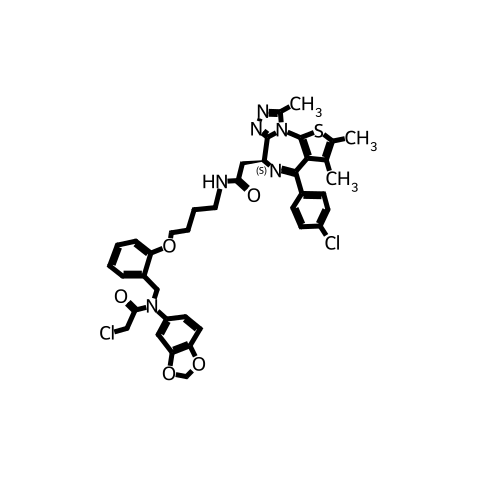 Cc1sc2c(c1C)C(c1ccc(Cl)cc1)=N[C@@H](CC(=O)NCCCCOc1ccccc1CN(C(=O)CCl)c1ccc3c(c1)OCO3)c1nnc(C)n1-2